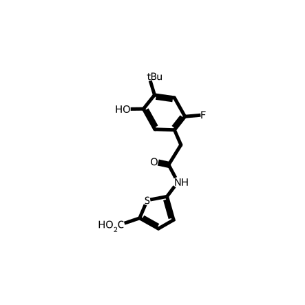 CC(C)(C)c1cc(F)c(CC(=O)Nc2ccc(C(=O)O)s2)cc1O